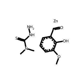 CN(C)C(=S)NN.COc1cccc(C=O)c1O.[Zn]